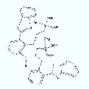 CO[Si](CCCc1c(SSc2cccc(-c3nc4ccccc4s3)c2CCC[Si](OC)(OC)OC)cccc1-c1nc2ccccc2s1)(OC)OC